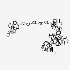 CNC(=O)c1c(F)cccc1Nc1nc(Nc2cc3c(cc2OC)CCN3C(=O)CN(C)C(=O)CCOCCOCCOCCOCCOCCNc2cccc3c2C(=O)N(C2CCC(=O)NC2=O)C3=O)nc2[nH]ccc12